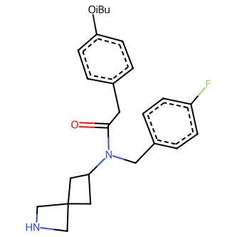 CC(C)COc1ccc(CC(=O)N(Cc2ccc(F)cc2)C2CC3(CNC3)C2)cc1